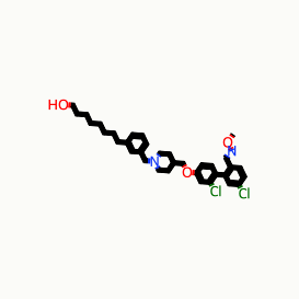 CON=Cc1ccc(Cl)cc1-c1ccc(OCC2CCN(Cc3cccc(CCCCCCCCO)c3)CC2)cc1Cl